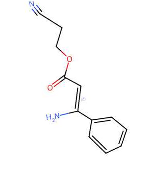 N#CCCOC(=O)/C=C(\N)c1ccccc1